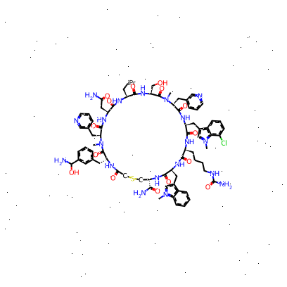 CC(C)C[C@@H]1NC(=O)[C@H](CC(N)=O)NC(=O)[C@H](Cc2cccnc2)N(C)C(=O)[C@@H](Cc2cccc(C(N)O)c2)NC(=O)CSC[C@@H](C(N)=O)NC(=O)[C@H](Cc2cn(C)c3ccccc23)NC(=O)[C@H](CCCCNC(N)=O)NC(=O)[C@H](Cc2cn(C)c3c(Cl)cccc23)NC(=O)[C@H](Cc2cccnc2)N(C)C(=O)[C@H](CO)NC1=O